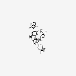 Cc1cc2c(cc1-c1c(C)noc1C)ncc1nc(C3CCC(F)(F)CC3)n([C@@H](C)COC(F)F)c12